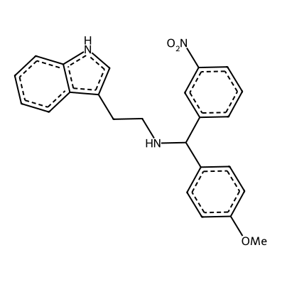 COc1ccc(C(NCCc2c[nH]c3ccccc23)c2cccc([N+](=O)[O-])c2)cc1